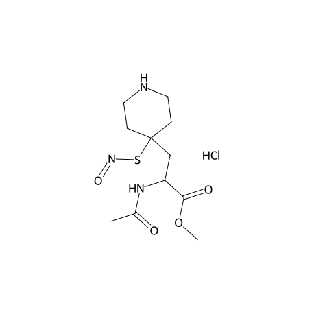 COC(=O)C(CC1(SN=O)CCNCC1)NC(C)=O.Cl